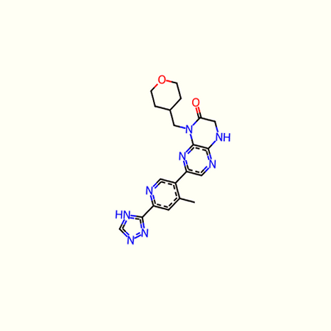 Cc1cc(-c2nnc[nH]2)ncc1-c1cnc2c(n1)N(CC1CCOCC1)C(=O)CN2